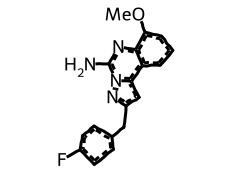 COc1cccc2c1nc(N)n1nc(Cc3ccc(F)cc3)cc21